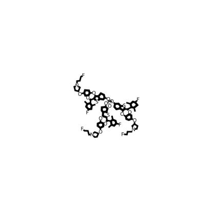 Cc1cc(F)cc(C)c1C(=O)c1sc2cc(OP(=O)(Oc3ccc4c(Oc5ccc(OC6CCN(CCCF)C6)cc5)c(C(=O)c5c(C)cc(F)cc5C)sc4c3)Oc3ccc4c(Oc5ccc(OC6CCN(CCCF)C6)cc5)c(C(=O)c5c(C)cc(F)cc5C)sc4c3)ccc2c1Oc1ccc(OC2CCN(CCCF)C2)cc1